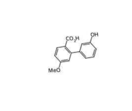 COc1ccc(C(=O)O)c(-c2cccc(O)c2)c1